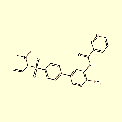 C=CC(N(C)C)S(=O)(=O)c1ccc(-c2cnc(N)c(NC(=O)c3cccnc3)c2)cc1